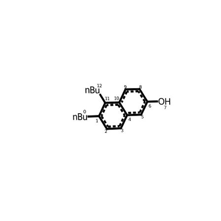 CCCCc1ccc2cc(O)ccc2c1CCCC